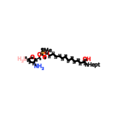 B[C@H]1CC(N)[C@@H](COP(=O)(OCCCCCCCCCCCC(O)CCCCCCC)SC)O1